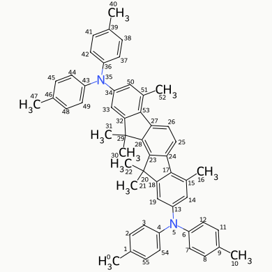 Cc1ccc(N(c2ccc(C)cc2)c2cc(C)c3c(c2)C(C)(C)c2c-3ccc3c2C(C)(C)c2cc(N(c4ccc(C)cc4)c4ccc(C)cc4)cc(C)c2-3)cc1